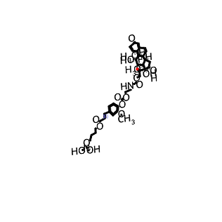 COc1cc(/C=C/C(=O)OCCCCON(O)O)ccc1OC(=O)OCCNC(=O)OCC(=O)[C@@]1(O)[C@H](O)C[C@H]2[C@@H]3CCC4=CC(=O)C=C[C@]4(C)[C@@]3(F)[C@@H](O)C[C@@]21C